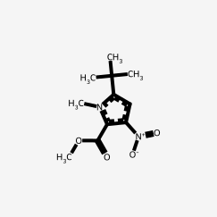 COC(=O)c1c([N+](=O)[O-])cc(C(C)(C)C)n1C